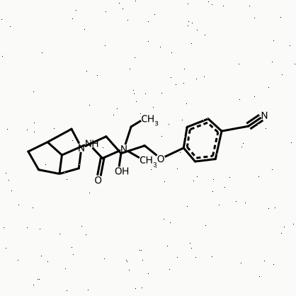 CCN(C)C(=O)NC1C2CCC1CN(CC(O)COc1ccc(C#N)cc1)C2